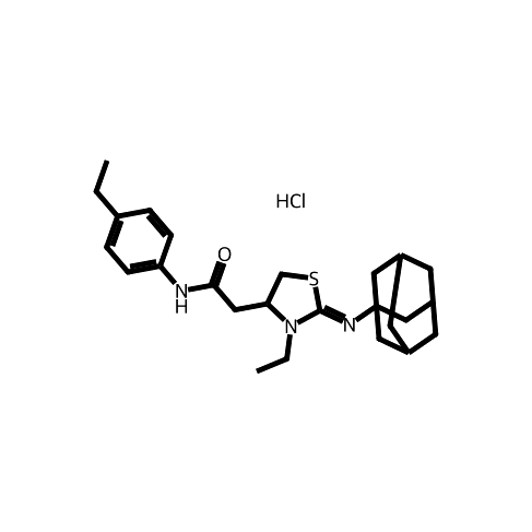 CCc1ccc(NC(=O)CC2CSC(=NC34CC5CC(CC(C5)C3)C4)N2CC)cc1.Cl